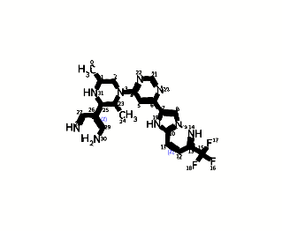 CC1CN(c2cc(-c3cnc(/C=C\C(=N)C(F)(F)F)[nH]3)ncn2)C(C)C(/C(C=N)=C/N)N1